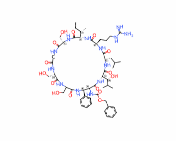 CC[C@H](C)[C@@H]1NC(=O)[C@@H](CCCNC(=N)N)NC(=O)[C@H](CC(C)C)NC(=O)[C@H]([C@H](O)C(C)C)NC(=O)[C@@H](NC(=O)OCc2ccccc2)[C@@H](c2ccccc2)NC(=O)C(CO)NC(=O)[C@H](CO)NC(=O)CNC(=O)[C@H](CO)NC1=O